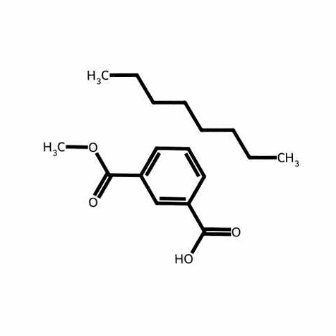 CCCCCCCC.COC(=O)c1cccc(C(=O)O)c1